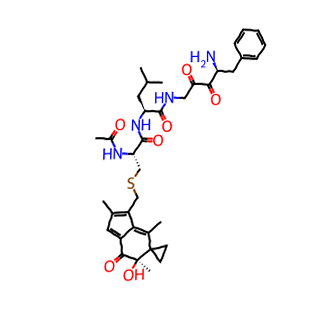 CC(=O)N[C@@H](CSCC1=C(C)C=C2C(=O)[C@](C)(O)C3(CC3)C(C)=C21)C(=O)N[C@@H](CC(C)C)C(=O)NCC(=O)C(=O)[C@@H](N)Cc1ccccc1